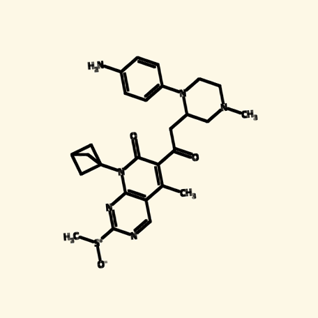 Cc1c(C(=O)CC2CN(C)CCN2c2ccc(N)cc2)c(=O)n(C23CC(C2)C3)c2nc([S+](C)[O-])ncc12